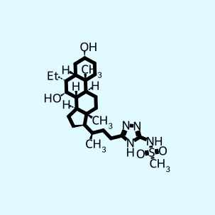 CC[C@H]1[C@@H](O)[C@@H]2[C@H](CC[C@]3(C)[C@@H]([C@H](C)CCc4nnc(NS(C)(=O)=O)[nH]4)CC[C@@H]23)[C@@]2(C)CC[C@@H](O)C[C@@H]12